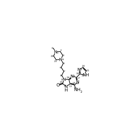 CN1CCN(CCCCn2c(=O)[nH]c3c(N)nc(-c4ncc[nH]4)nc32)CC1